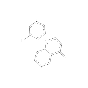 Fc1ccccc1.O=c1ccoc2ccccc12